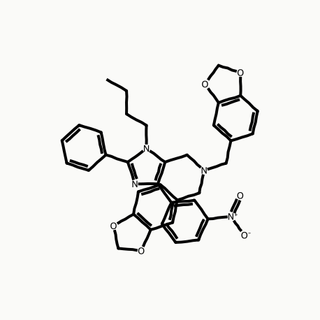 CCCCn1c(-c2ccccc2)nc(-c2cccc([N+](=O)[O-])c2)c1CN(Cc1ccc2c(c1)OCO2)Cc1ccc2c(c1)OCO2